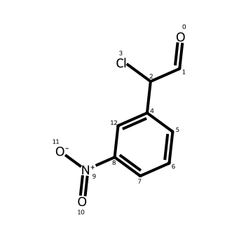 O=CC(Cl)c1cccc([N+](=O)[O-])c1